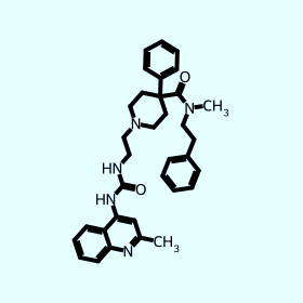 Cc1cc(NC(=O)NCCN2CCC(C(=O)N(C)CCc3ccccc3)(c3ccccc3)CC2)c2ccccc2n1